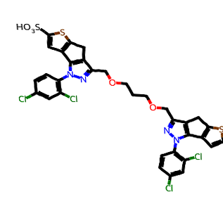 O=S(=O)(O)c1cc2c(s1)Cc1c(COCCCOCc3nn(-c4ccc(Cl)cc4Cl)c4c3Cc3sccc3-4)nn(-c3ccc(Cl)cc3Cl)c1-2